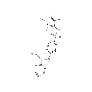 Cc1nn(C)c(C)c1NS(=O)(=O)c1ccc(NC(CO)c2ccccc2)nc1